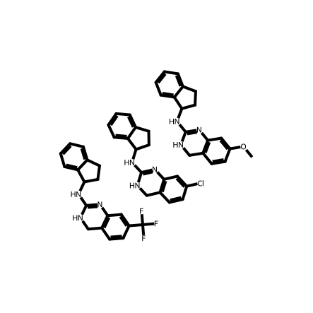 COc1ccc2c(c1)N=C(NC1CCc3ccccc31)NC2.Clc1ccc2c(c1)N=C(NC1CCc3ccccc31)NC2.FC(F)(F)c1ccc2c(c1)N=C(NC1CCc3ccccc31)NC2